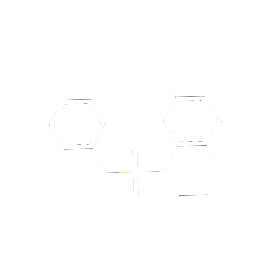 O=C(O)c1cnc2c(c1)N(S(=O)(=O)Cc1ccccc1)CCO2